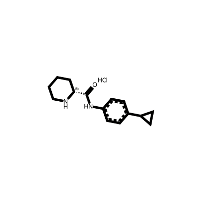 Cl.O=C(Nc1ccc(C2CC2)cc1)[C@H]1CCCCN1